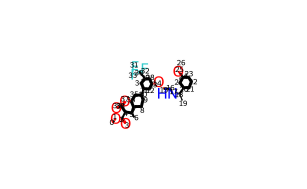 COC(=O)c1c(C)c2ccc(-c3cc(OCCN[C@H](C)c4cccc(OC)c4)cc(C(F)(F)F)c3)cc2oc1=O